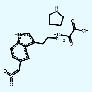 C1CCNC1.NCCc1c[nH]c2ccc(C=S(=O)=O)cc12.O=C(O)C(=O)O